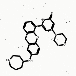 O=c1cc(N2CCOCC2)cc(-c2cccc3c2Oc2ccc(NC4CCCNCC4)cc2C3)[nH]1